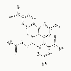 CC(=O)OCC1O[C@@H](Oc2ccc([N+](=O)[O-])cc2Cl)[C@@H](OC(C)=O)C(OC(C)=O)[C@@H]1OC(C)=O